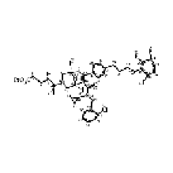 CCOC(=O)CCNC(=O)N1C[C@H]2CC(c3ccc(CCCOc4c(F)ccc(F)c4F)cc3)=C(C(=O)N(Cc3ccccc3Cl)C3CC3)[C@@H](C1)N2